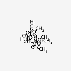 C=C(CC(NC(=O)OC(C)(C)C)C(=O)OCC)CC(NC=O)(C(=O)OCC)C(=O)OCC